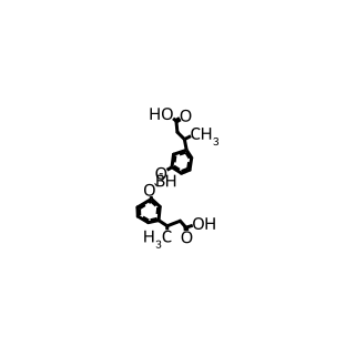 CC(CC(=O)O)c1cccc(OBOc2cccc(C(C)CC(=O)O)c2)c1